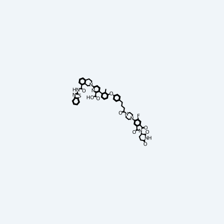 Cc1c(Oc2ccc(CCCC(=O)N3CCN(c4cc5c(cc4F)C(=O)N(C4CCC(=O)NC4=O)C5=O)CC3)cc2)cccc1-c1ccc(N2CCc3cccc(C(=O)Nc4nc5ccccc5s4)c3C2)nc1C(=O)O